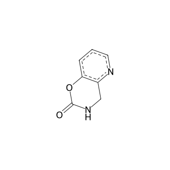 O=C1NCc2ncccc2O1